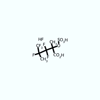 CC(OS(=O)(=O)O)(C(=O)O)C(F)(F)C(C)(F)C(F)(F)F.F